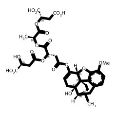 COc1ccc2c3c1O[C@H]1C(OC(=O)C[C@H](OC(=O)C[C@H](O)C(=O)O)C(=O)O[C@@H](C)C(=O)O[C@@H](CC(=O)O)C(=O)O)=CC[C@@]4(O)[C@@H](C2)N(C)CC[C@]314